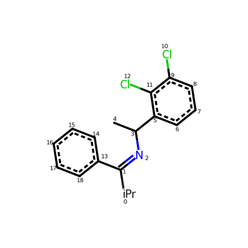 CC(C)C(=NC(C)c1cccc(Cl)c1Cl)c1ccccc1